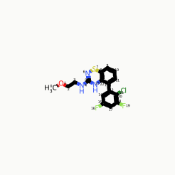 COCCNC1=NSc2cccc(-c3cc(F)cc(F)c3Cl)c2N1